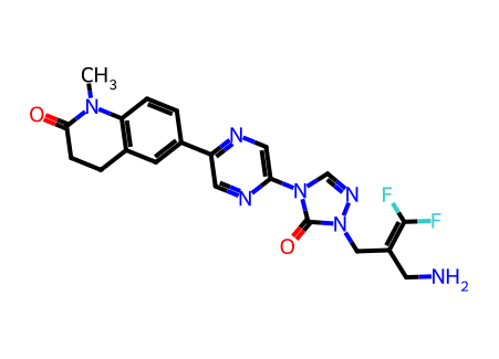 CN1C(=O)CCc2cc(-c3cnc(-n4cnn(CC(CN)=C(F)F)c4=O)cn3)ccc21